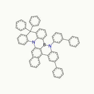 c1ccc(-c2cccc(N3B4c5cccc6c5N(c5ccccc5C6(c5ccccc5)c5ccccc5)c5cc6ccccc6c(c54)-c4cc(-c5ccccc5)ccc43)c2)cc1